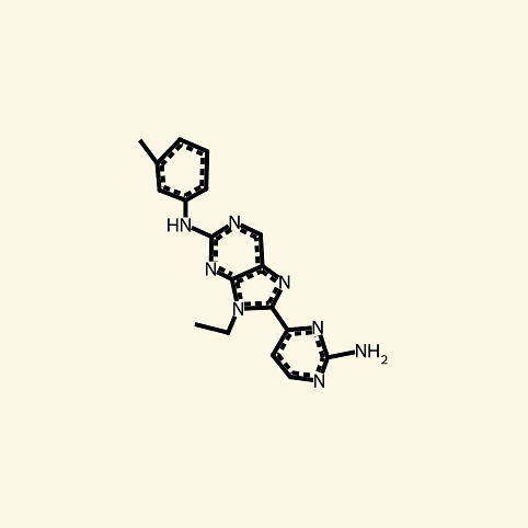 CCn1c(-c2ccnc(N)n2)nc2cnc(Nc3cccc(C)c3)nc21